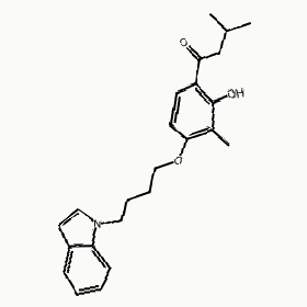 Cc1c(OCCCCn2ccc3ccccc32)ccc(C(=O)CC(C)C)c1O